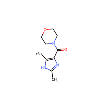 Cc1nc(C(=O)N2CCOCC2)c(C(C)(C)C)[nH]1